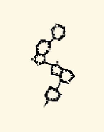 Fc1ccc(-c2nccc3[nH]c(-c4n[nH]c5ccc(-c6cncnc6)nc45)cc23)cc1